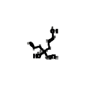 C=CC[N+](O)(CC)CC=CO.[Cl-]